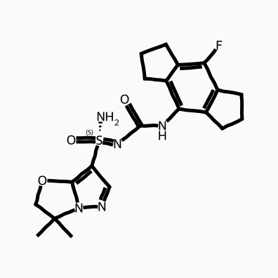 CC1(C)COc2c([S@@](N)(=O)=NC(=O)Nc3c4c(c(F)c5c3CCC5)CCC4)cnn21